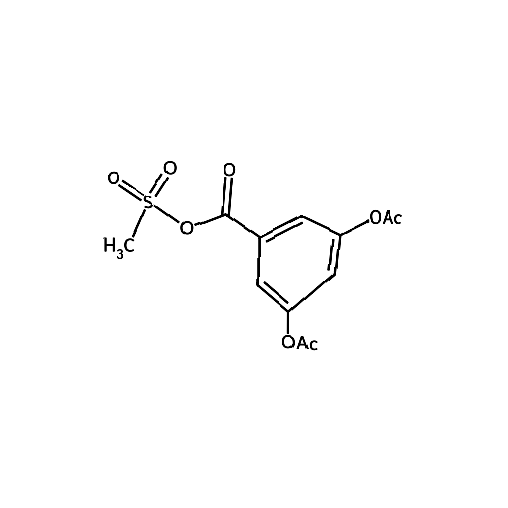 CC(=O)Oc1cc(OC(C)=O)cc(C(=O)OS(C)(=O)=O)c1